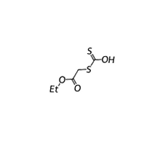 CCOC(=O)CSC(O)=S